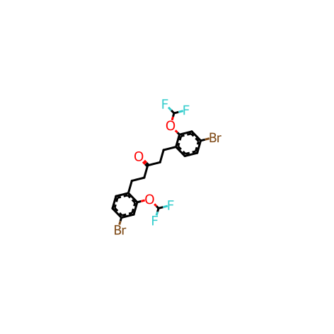 O=C(CCc1ccc(Br)cc1OC(F)F)CCc1ccc(Br)cc1OC(F)F